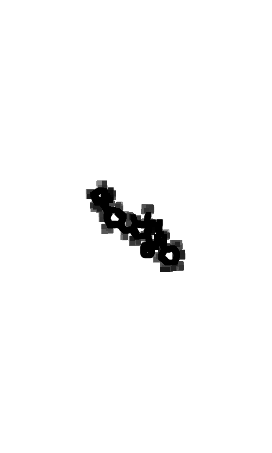 Cc1c(Cc2ccc(-n3cccn3)cc2)cc2c(=O)n(C3CCCCC3)cnc2c1C